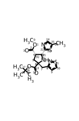 COC(=O)[C@H]1C[C@@](Cc2ccsn2)(C(=O)OC(C)(C)C)N[C@H]1c1ncc(C)s1